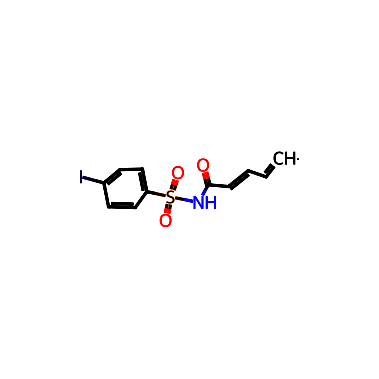 [CH]=CC=CC(=O)NS(=O)(=O)c1ccc(I)cc1